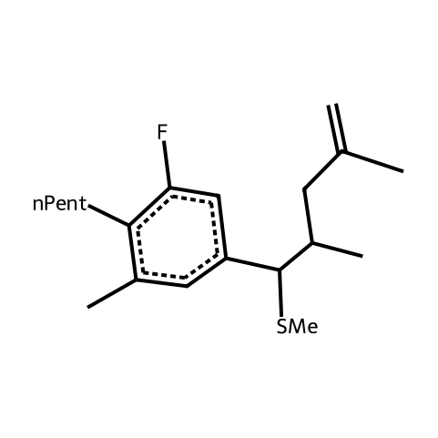 C=C(C)CC(C)C(SC)c1cc(C)c(CCCCC)c(F)c1